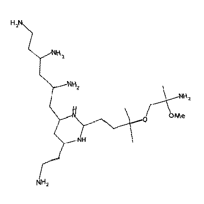 COC(C)(N)COC(C)(C)CCC1NC(CCN)CC(CC(N)CC(N)CCN)N1